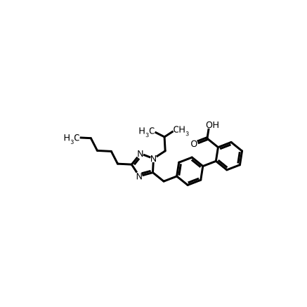 CCCCCc1nc(Cc2ccc(-c3ccccc3C(=O)O)cc2)n(CC(C)C)n1